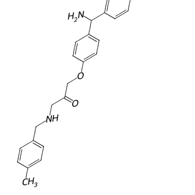 COc1cc(C)ccc1C(N)c1ccc(OCC(=O)CNCc2ccc(C)cc2)cc1